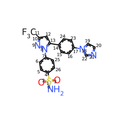 NS(=O)(=O)c1ccc(-n2nc(C(F)(F)F)cc2-c2ccc(-n3ccnc3)cc2)cc1